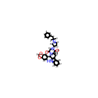 CC(C)(Cc1ccccc1)N1CC[C@@H](N2CC(=O)N3[C@H](Cc4c([nH]c5ccccc45)[C@H]3C3=CC4OCOC4C=C3)C2=O)C1